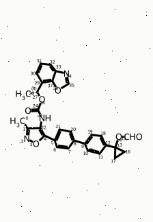 Cc1noc(-c2ccc(-c3ccc(C4(OC=O)CC4)cc3)cc2)c1NC(=O)O[C@H](C)c1cccc2ncoc12